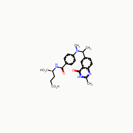 Cc1nc2ccc(C(C)N(C)c3ccc(C(=O)N[C@@H](CCC(=O)O)C(=O)O)cc3)cc2c(=O)[nH]1